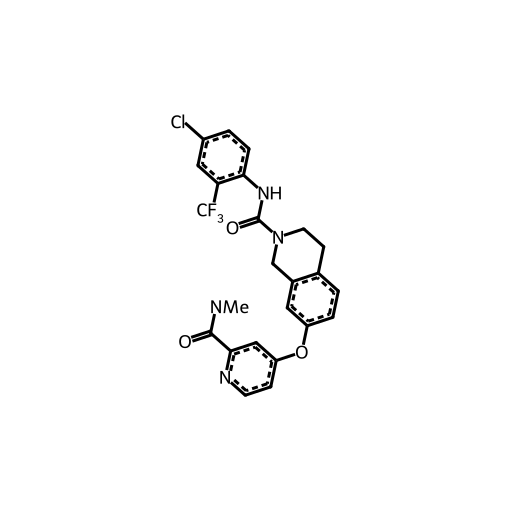 CNC(=O)c1cc(Oc2ccc3c(c2)CN(C(=O)Nc2ccc(Cl)cc2C(F)(F)F)CC3)ccn1